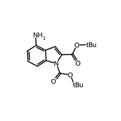 CC(C)(C)OC(=O)c1cc2c(N)cccc2n1C(=O)OC(C)(C)C